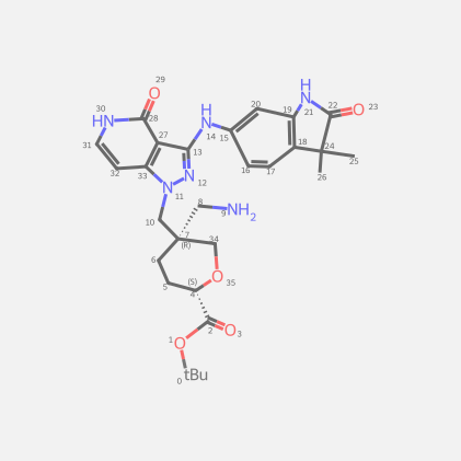 CC(C)(C)OC(=O)[C@@H]1CC[C@@](CN)(Cn2nc(Nc3ccc4c(c3)NC(=O)C4(C)C)c3c(=O)[nH]ccc32)CO1